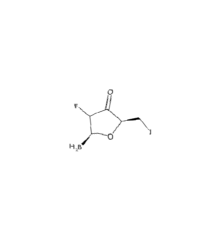 B[C@@H]1O[C@H](CI)C(=O)C1F